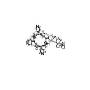 ClS(Cl)(Cl)c1ccc(C[n+]2ccc(-c3c4nc(c(-c5ccncc5)c5ccc([nH]5)c(-c5ccncc5)c5nc(c(-c6ccncc6)c6ccc3[nH]6)C=C5)C=C4)cc2)cc1